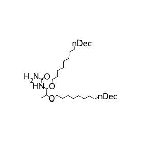 CCCCCCCCCCCCCCCCCCOC(C)C(NC(N)=O)OCCCCCCCCCCCCCCCCCC